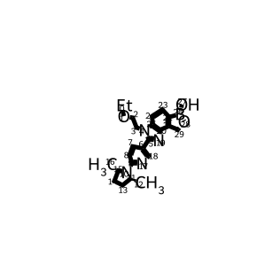 CCOCCn1c(-c2ccc(N3[C@@H](C)CC[C@@H]3C)nc2)nc2c3c(ccc21)B(O)OC3